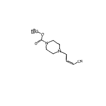 CC(C)(C)OC(=O)N1CCN(C/C=C\C#N)CC1